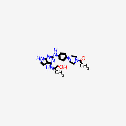 CC(=O)N1CCN(c2ccc(Nc3nc(N[C@H](C)CO)c4cc[nH]c4n3)cc2)CC1